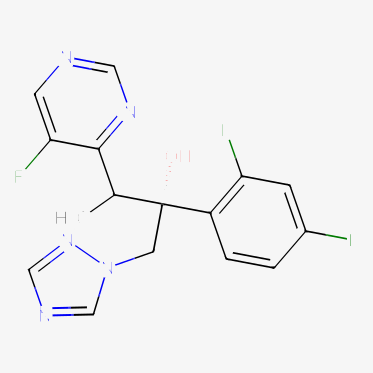 CC(c1ncncc1F)[C@](O)(Cn1cncn1)c1ccc(F)cc1F